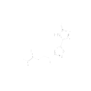 O=c1[nH]c(-c2cnc([S+]([O-])CCC(F)=C(F)F)s2)no1